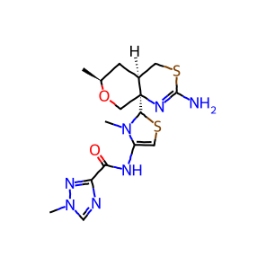 C[C@H]1C[C@H]2CSC(N)=N[C@@]2(C2SC=C(NC(=O)c3ncn(C)n3)N2C)CO1